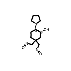 O=NCC1(CN=O)CC[C@@H](N2CCCC2)[C@H](O)C1